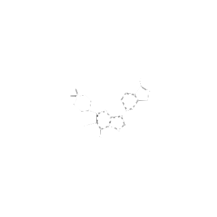 Nc1c(Br)c(N2CCS(=O)(=O)CC2)nc2c(-c3ccc4c(c3)CN=C4Br)cnn12